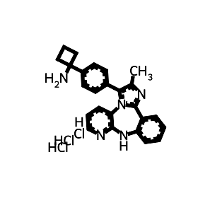 Cc1nc2n(c1-c1ccc(C3(N)CCC3)cc1)-c1cccnc1Nc1ccccc1-2.Cl.Cl.Cl